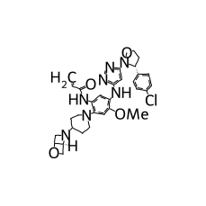 C=CC(=O)Nc1cc(Nc2cc(N3OCC[C@@H]3c3ccc(Cl)cc3)ncn2)c(OC)cc1N1CCC(N2CC3OC[C@@H]32)CC1